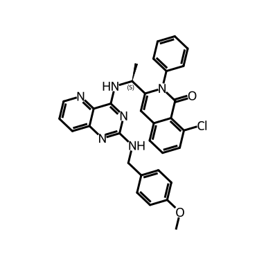 COc1ccc(CNc2nc(N[C@@H](C)c3cc4cccc(Cl)c4c(=O)n3-c3ccccc3)c3ncccc3n2)cc1